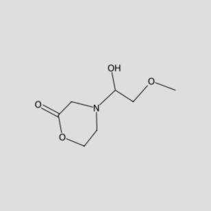 COCC(O)N1CCOC(=O)C1